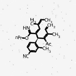 C=C/C(C)=C(/C(C)=O)[C@H](/C(=C/C(C)=C\C)C(=N)OCCC)c1ccc(C#N)cc1C